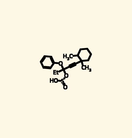 CCC(C#CC1(C)CCCCC1C)(Oc1ccccc1)OS(=O)O